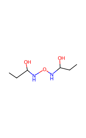 CCC(O)NONC(O)CC